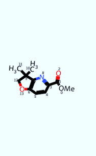 COC(=O)c1ccc2c(n1)C(C)(C)CO2